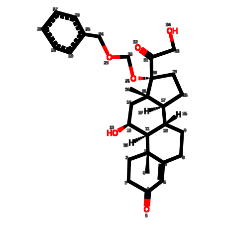 C[C@]12CCC(=O)C=C1CC[C@@H]1[C@@H]2[C@@H](O)C[C@@]2(C)[C@H]1CC[C@]2(OCOCc1ccccc1)C(=O)CO